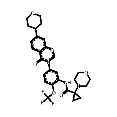 O=C(Nc1cc(-n2cnc3cc(C4CCOCC4)ccc3c2=O)ccc1OC(F)(F)F)C1(N2CCOCC2)CC1